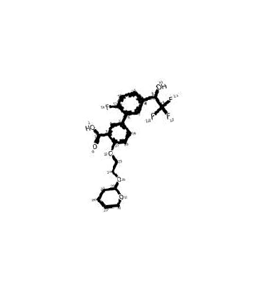 O=C(O)c1cc(-c2cc(C(O)C(F)(F)F)ccc2F)ccc1OCCOC1CCCCO1